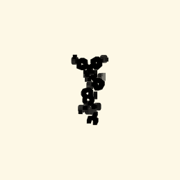 CCC(CC)COC(=O)[C@@H]1C[C@H]2C[C@@H](Oc3cccc(Cl)c3-c3nnn(C(c4ccc(OC)cc4)c4ccc(OC)cc4)n3)CCC2CN1C(=O)OC